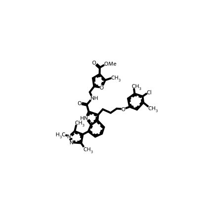 COC(=O)c1cc(CNC(=O)c2[nH]c3c(-c4c(C)nn(C)c4C)cccc3c2CCCOc2cc(C)c(Cl)c(C)c2)oc1C